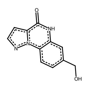 O=c1[nH]c2cc(CO)ccc2n2nccc12